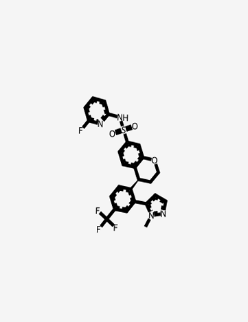 Cn1nccc1-c1cc(C(F)(F)F)ccc1[C@@H]1CCOc2cc(S(=O)(=O)Nc3cccc(F)n3)ccc21